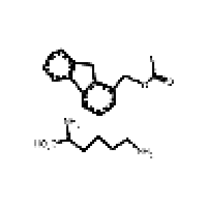 NCCCCC(N)C(=O)O.O=C(Cl)OCc1cccc2c1Cc1ccccc1-2